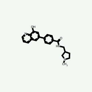 CN1CCC(CNC(=O)c2ccc(-c3cc(O)c4ncccc4c3)cc2)C1